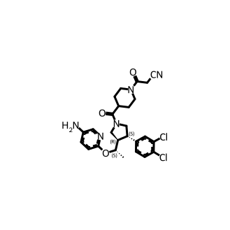 C[C@H](Oc1ccc(N)cn1)[C@H]1CN(C(=O)C2CCN(C(=O)CC#N)CC2)C[C@@H]1c1ccc(Cl)c(Cl)c1